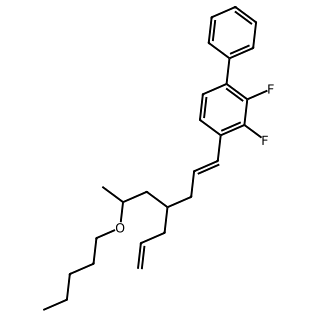 C=CCC(C/C=C/c1ccc(-c2ccccc2)c(F)c1F)CC(C)OCCCCC